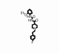 CCOc1ccccc1NC(=O)NC(=O)C1CCN(CCc2ccc(F)cc2)CC1